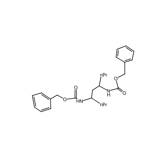 [CH2]CCC(CC(CC[CH2])NC(=O)OCc1ccccc1)NC(=O)OCc1ccccc1